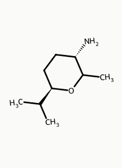 CC1O[C@@H](C(C)C)CC[C@@H]1N